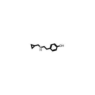 Oc1ccc(CCNCC2CC2)cc1